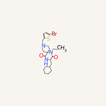 CCCN1C(=O)C(CC2CCCCC2)NC(=O)C12CCN(Cc1ccc(Br)s1)CC2